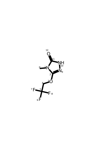 Cn1c(OCC(F)(F)F)n[nH]c1=O